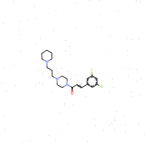 O=C(/C=C/c1cc(F)cc(F)c1)N1CCN(CCCN2CCCCC2)CC1